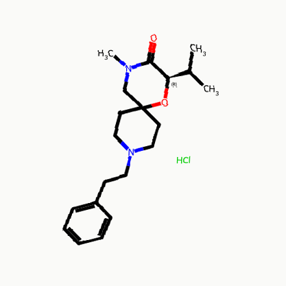 CC(C)[C@H]1OC2(CCN(CCc3ccccc3)CC2)CN(C)C1=O.Cl